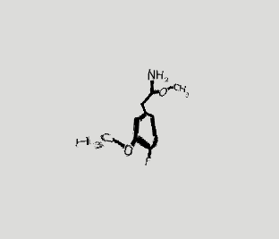 COc1cc(CC(N)OC)ccc1F